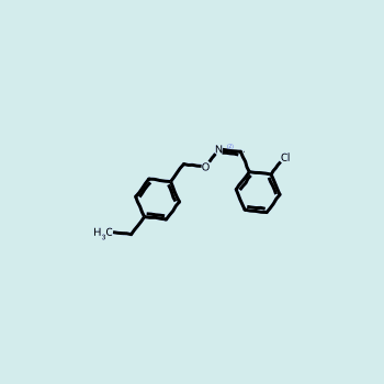 CCc1ccc(CO/N=[C]\c2ccccc2Cl)cc1